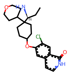 CC[C@H](N)C1(C2CCOCC2)CCC(Oc2cc3cc[nH]c(=O)c3cc2Cl)CC1